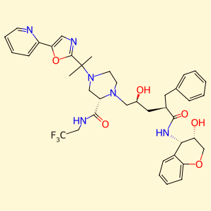 CC(C)(c1ncc(-c2ccccn2)o1)N1CCN(C[C@@H](O)C[C@@H](Cc2ccccc2)C(=O)N[C@H]2c3ccccc3OC[C@H]2O)[C@H](C(=O)NCC(F)(F)F)C1